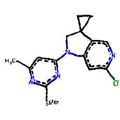 CSc1nc(C)cc(N2CC3(CC3)c3cnc(Cl)cc32)n1